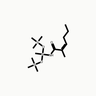 CCCC=C(C)C(=O)N[Si](C)(O[Si](C)(C)C)O[Si](C)(C)C